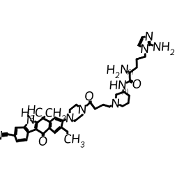 CCc1cc2c(cc1N1CCN(C(=O)CCCN3CCC[C@@H](NC(=O)[C@@H](N)CCCn4ccnc4N)C3)CC1)C(C)(C)c1[nH]c3cc(C#N)ccc3c1C2=O